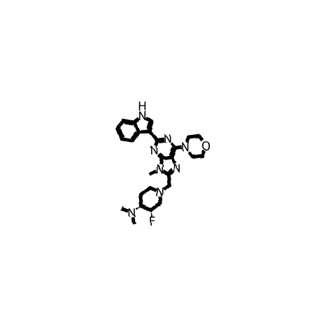 CN(C)[C@@H]1CCN(Cc2nc3c(N4CCOCC4)nc(-c4c[nH]c5ccccc45)nc3n2C)C[C@@H]1F